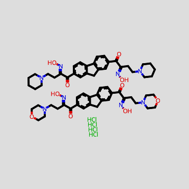 Cl.Cl.Cl.Cl.O=C(C(CCN1CCCCC1)=NO)c1ccc2c(c1)Cc1cc(C(=O)C(CCN3CCCCC3)=NO)ccc1-2.O=C(C(CCN1CCOCC1)=NO)c1ccc2c(c1)Cc1cc(C(=O)C(CCN3CCOCC3)=NO)ccc1-2